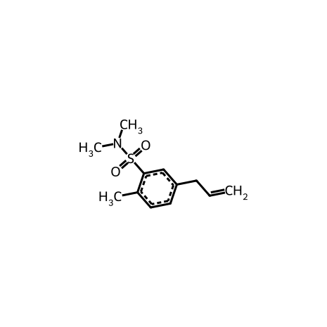 C=CCc1ccc(C)c(S(=O)(=O)N(C)C)c1